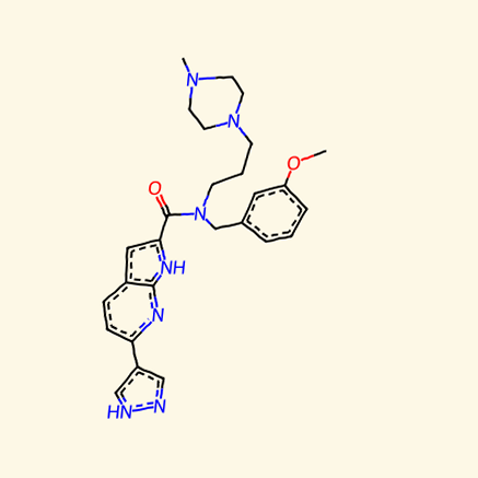 COc1cccc(CN(CCCN2CCN(C)CC2)C(=O)c2cc3ccc(-c4cn[nH]c4)nc3[nH]2)c1